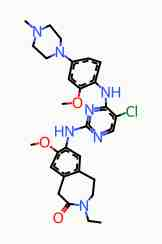 CCN1CCc2cc(Nc3ncc(Cl)c(Nc4ccc(N5CCN(C)CC5)cc4OC)n3)c(OC)cc2CC1=O